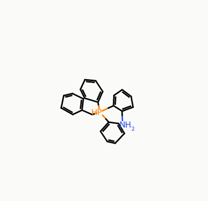 Nc1ccccc1[PH](Cc1ccccc1)(c1ccccc1)c1ccccc1